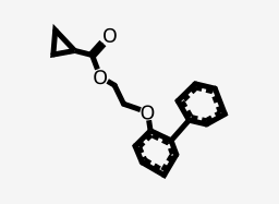 O=C(OCCOc1ccccc1-c1ccccc1)C1CC1